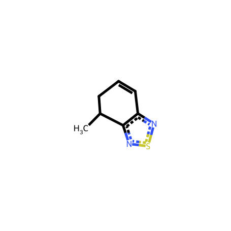 CC1CC=Cc2nsnc21